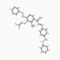 CC(C)=CCc1c(OCc2ccccc2)ccc(C(=O)C=Cc2ccc(OCc3ccccc3)cc2)c1O